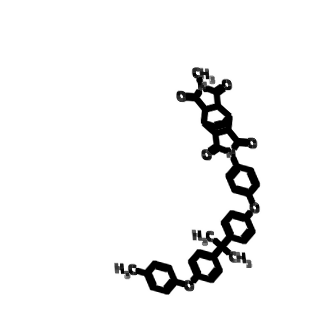 Cc1ccc(Oc2ccc(C(C)(C)c3ccc(Oc4ccc(N5C(=O)C6C7C=CC(C8C(=O)N(C)C(=O)C78)C6C5=O)cc4)cc3)cc2)cc1